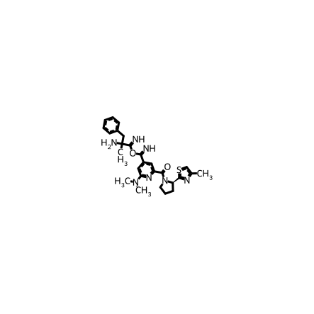 Cc1csc([C@H]2CCCN2C(=O)c2cc(C(=N)OC(=N)C(C)(N)Cc3ccccc3)cc(N(C)C)n2)n1